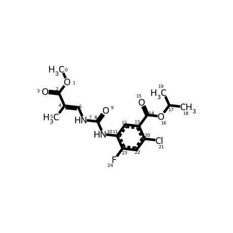 COC(=O)/C(C)=C/NC(=O)Nc1cc(C(=O)OC(C)C)c(Cl)cc1F